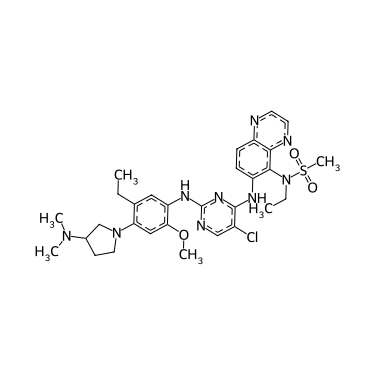 CCc1cc(Nc2ncc(Cl)c(Nc3ccc4nccnc4c3N(CC)S(C)(=O)=O)n2)c(OC)cc1N1CCC(N(C)C)C1